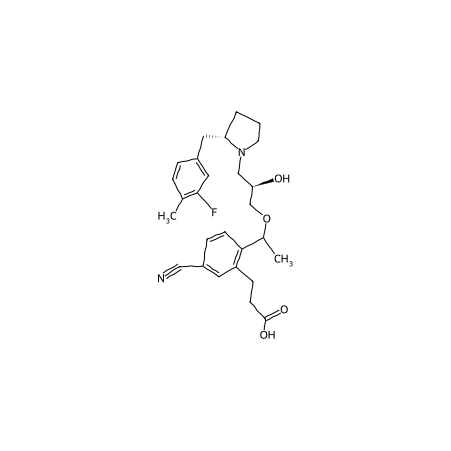 Cc1ccc(C[C@@H]2CCCN2C[C@@H](O)COC(C)c2ccc(C#N)cc2CCC(=O)O)cc1F